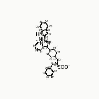 N[N+]12C=CN=CC1=C(C1CCC(CN(Cc3ccccc3)C(=O)[O-])CC1)N=C2c1cc2ccccc2[nH]1